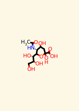 CC(=O)N[C@@H]1C(O)CC(O)(C(=O)O)OC1[C@@H](O)[C@@H](O)CO